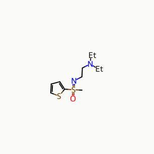 CCN(CC)CCN=S(C)(=O)c1cccs1